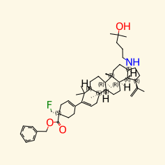 C=C(C)[C@@H]1CC[C@]2(NCCCC(C)(C)O)CC[C@]3(C)[C@H](CC[C@@H]4[C@@]5(C)CC=C(C6=CC[C@](CF)(C(=O)OCc7ccccc7)CC6)C(C)(C)[C@@H]5CC[C@]43C)[C@@H]12